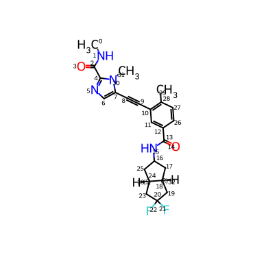 CNC(=O)c1ncc(C#Cc2cc(C(=O)NC3C[C@@H]4CC(F)(F)C[C@@H]4C3)ccc2C)n1C